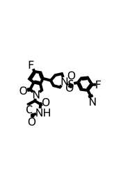 N#Cc1cc(S(=O)(=O)N2CCC(c3cc(F)cc4c3CN(C3CCC(=O)NC3=O)C4=O)CC2)ccc1F